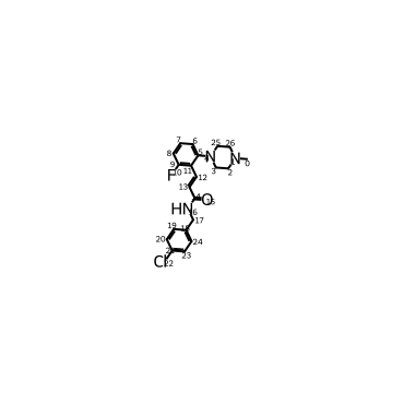 CN1CCN(c2cccc(F)c2C=CC(=O)NCc2ccc(Cl)cc2)CC1